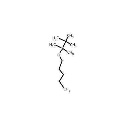 CCCC[CH]O[Si](C)(C)C(C)(C)C